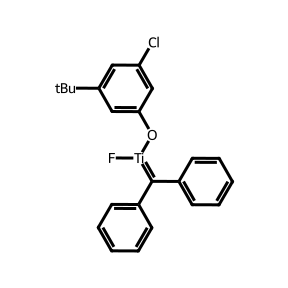 CC(C)(C)c1cc(Cl)cc([O][Ti]([F])=[C](c2ccccc2)c2ccccc2)c1